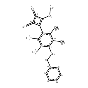 Cc1c(C)c(-c2c(OC(C)C)c(=O)c2=O)c(C)c(C)c1OCc1ccccc1